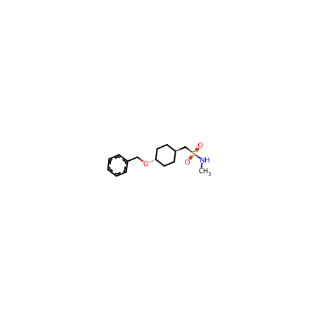 CNS(=O)(=O)C[C@H]1CC[C@H](OCc2ccccc2)CC1